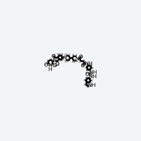 O=C(/C=C/C(=O)N1CCC(C2CCN(c3ccc4c(c3)C(=O)N(C3CCC(=O)NC3=O)C4=O)CC2)CC1)Nc1ccc(NC(=O)Nc2ccc3cc[nH]c3c2)cc1